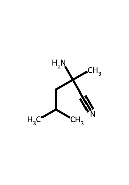 CC(C)CC(C)(N)C#N